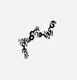 CP(C)(=O)Cn1cc(-c2cnc3c(n2)N(Cc2ccc4nc(CP(C)(=O)Cn5cc(-c6cnc7nnn(Cc8ccc9nccn9c8)c7n6)cn5)ccc4c2)NN3)cn1